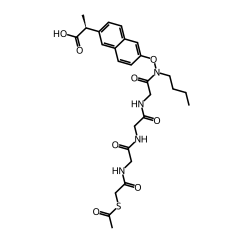 CCCCN(Oc1ccc2cc([C@H](C)C(=O)O)ccc2c1)C(=O)CNC(=O)CNC(=O)CNC(=O)CSC(C)=O